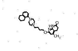 Cc1cc(OCCCCN2CCN(c3cccc4c3CCCC4)CC2)nc2c1CCC(=O)N2